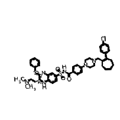 CN(C)CC[C@H](CSc1ccccc1)Nc1ccc(S(=O)(=O)NC(=O)c2ccc(N3CCN(CC4=C(c5ccc(Cl)cc5)CCCCC4)CC3)cc2)cc1[N+](=O)[O-]